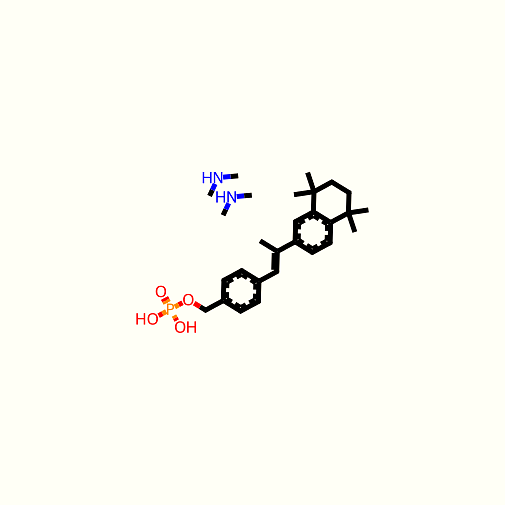 CC(=Cc1ccc(COP(=O)(O)O)cc1)c1ccc2c(c1)C(C)(C)CCC2(C)C.CNC.CNC